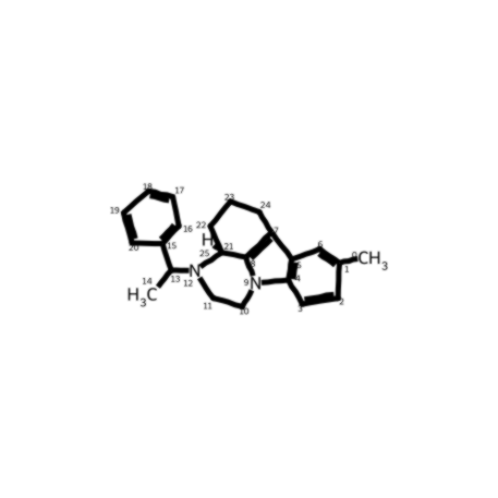 Cc1ccc2c(c1)c1c3n2CCN(C(C)c2ccccc2)[C@@H]3CCC1